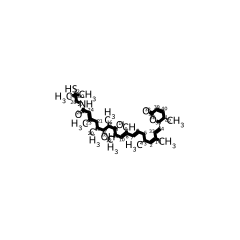 CC(=C/[C@H](C)C/C=C/C(C)=C/[C@@H](C)C(=O)[C@@H](C)[C@H](O)[C@@H](C)C/C(C)=C/C(=O)NCC(C)(C)S)/C=C/[C@@H]1OC(=O)C=C[C@@H]1C